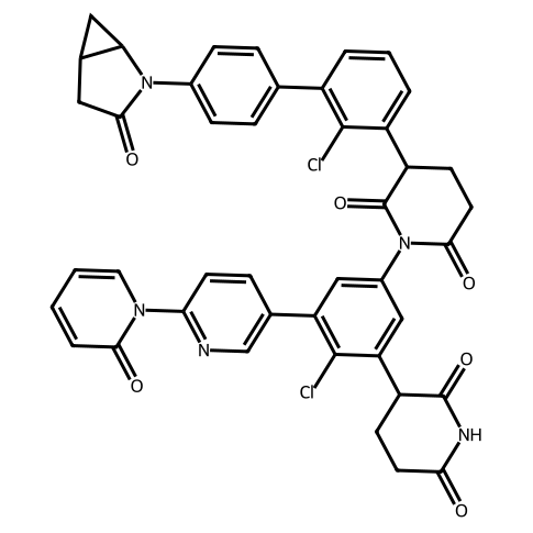 O=C1CCC(c2cc(N3C(=O)CCC(c4cccc(-c5ccc(N6C(=O)CC7CC76)cc5)c4Cl)C3=O)cc(-c3ccc(-n4ccccc4=O)nc3)c2Cl)C(=O)N1